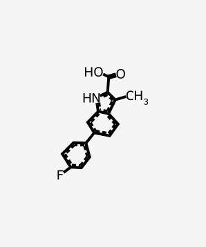 Cc1c(C(=O)O)[nH]c2cc(-c3ccc(F)cc3)ccc12